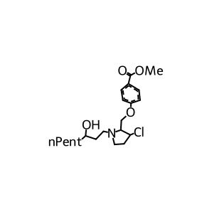 CCCCCC(O)CCN1CCC(Cl)C1COc1ccc(C(=O)OC)cc1